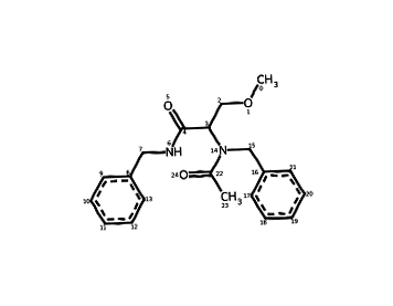 COCC(C(=O)NCc1ccccc1)N(Cc1ccccc1)C(C)=O